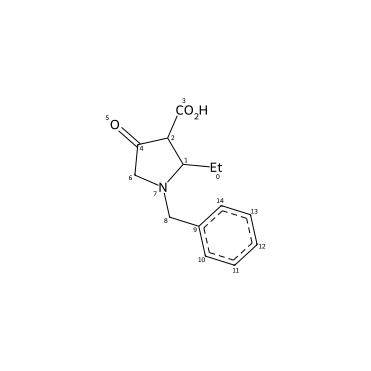 CCC1C(C(=O)O)C(=O)CN1Cc1ccccc1